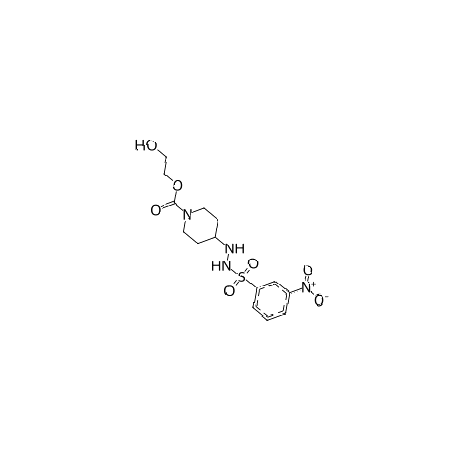 O=C(OCCO)N1CCC(NNS(=O)(=O)c2cccc([N+](=O)[O-])c2)CC1